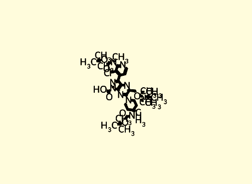 CN(C(=O)OC(C)(C)C)c1nccc(-c2nn(C(=O)O)c3nc(N4CCC(C)(NC(=O)OC(C)(C)C)CC4)c(CO[Si](C)(C)C(C)(C)C)nc23)c1Cl